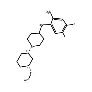 CCCO[C@@H]1CCC[C@H](N2CCC(Nc3cc(C)c(F)cc3[N+](=O)[O-])CC2)C1